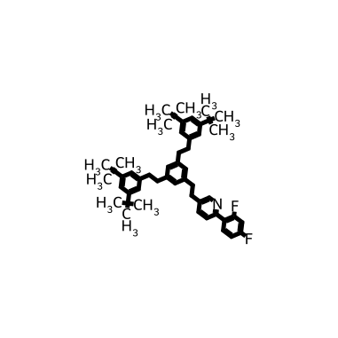 CC(C)(C)c1cc(CCc2cc(CCc3ccc(-c4ccc(F)cc4F)nc3)cc(CCc3cc(C(C)(C)C)cc(C(C)(C)C)c3)c2)cc(C(C)(C)C)c1